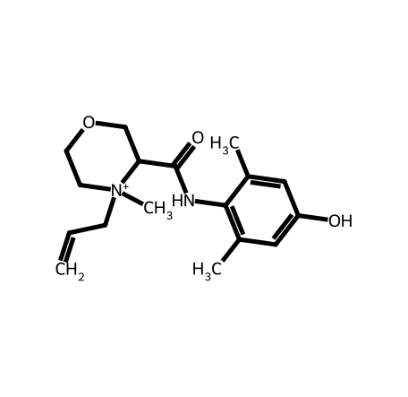 C=CC[N+]1(C)CCOCC1C(=O)Nc1c(C)cc(O)cc1C